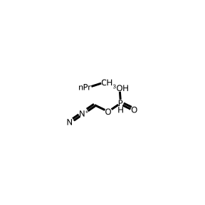 CCCC.[N-]=[N+]=CO[PH](=O)O